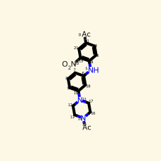 CC(=O)c1ccc(Nc2cccc(N3CCN(C(C)=O)CC3)c2)c([N+](=O)[O-])c1